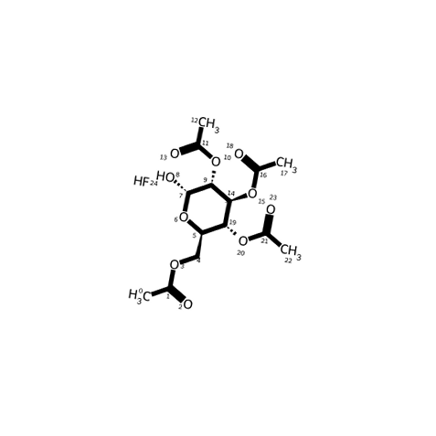 CC(=O)OC[C@H]1O[C@H](O)[C@H](OC(C)=O)[C@@H](OC(C)=O)[C@@H]1OC(C)=O.F